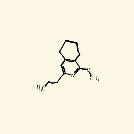 CCCc1cc2c(c(OC)n1)CCCC2